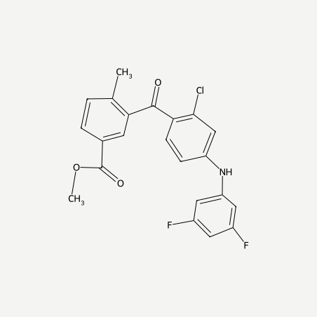 COC(=O)c1ccc(C)c(C(=O)c2ccc(Nc3cc(F)cc(F)c3)cc2Cl)c1